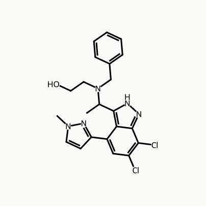 CC(c1[nH]nc2c(Cl)c(Cl)cc(-c3ccn(C)n3)c12)N(CCO)Cc1ccccc1